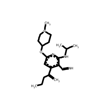 C=C(CCC)c1cc(OC2CCN(C)CC2)nc(NC(C)C)c1C=N